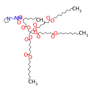 CCCCCCCCCCOC(=O)CCCCCC(=O)OCC(COC(=O)CCCCCC(=O)OCCCCCCCCCC)(COC(=O)CCCCCC(=O)OCCCCCCCCCC)COC(=O)CCC(CCCCCC)OC(=O)NCCN1CCCC1